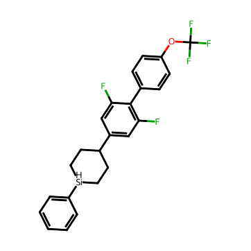 Fc1cc(C2CC[SiH](c3ccccc3)CC2)cc(F)c1-c1ccc(OC(F)(F)F)cc1